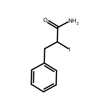 NC(=O)C(I)Cc1ccccc1